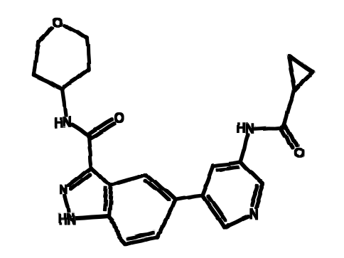 O=C(NC1CCOCC1)c1n[nH]c2ccc(-c3cncc(NC(=O)C4CC4)c3)cc12